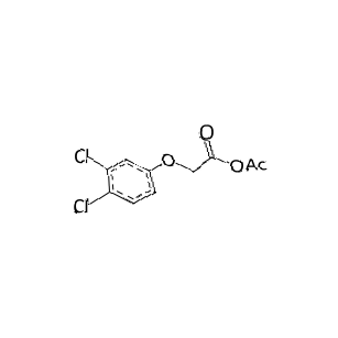 CC(=O)OC(=O)COc1ccc(Cl)c(Cl)c1